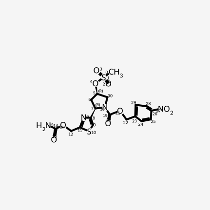 CS(=O)(=O)O[C@@H]1C[C@H](c2csc(COC(N)=O)n2)N(C(=O)OCc2ccc([N+](=O)[O-])cc2)C1